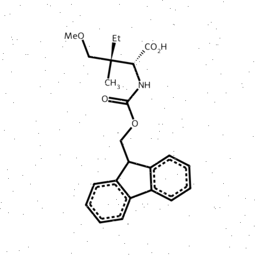 CC[C@@](C)(COC)[C@@H](NC(=O)OCC1c2ccccc2-c2ccccc21)C(=O)O